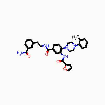 Cc1ccccc1N1CCN(c2ccc(C(=O)NCCc3cccc(C(N)=O)c3)cc2NC(=O)c2ccco2)CC1